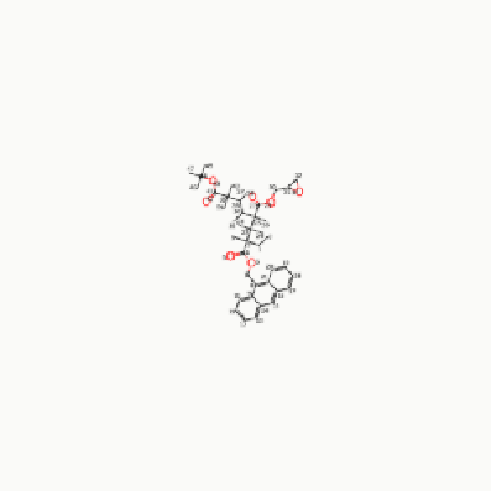 CCC(C)(C(=O)OCc1c2ccccc2cc2ccccc12)C(C)(C)C(C)(C(=O)OCC1CO1)C(C)C(C)C(C)(C)C(=O)OC(C)(C)C